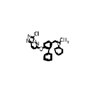 CN(Cc1ccc(Oc2ccc3nnc(Cl)n3n2)c(-c2ccccc2)c1)C1CCCCC1